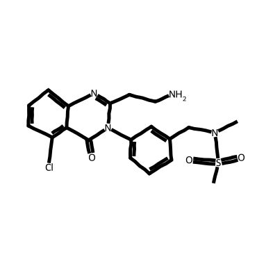 CN(Cc1cccc(-n2c(CCN)nc3cccc(Cl)c3c2=O)c1)S(C)(=O)=O